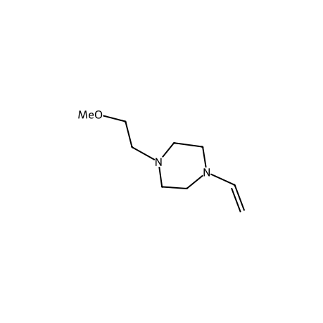 C=CN1CCN(CCOC)CC1